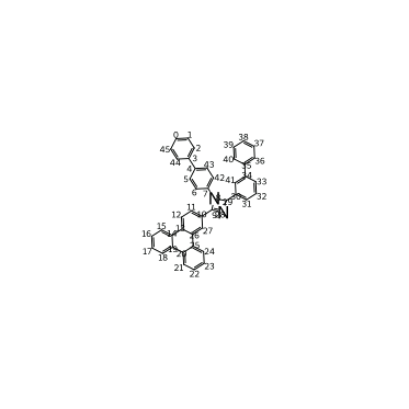 c1ccc(-c2ccc(N3C(c4ccc5c6ccccc6c6ccccc6c5c4)=NC3c3cccc(-c4ccccc4)c3)cc2)cc1